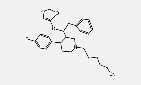 N#CCCCCCN1CCC(c2ccc(F)cc2)C(C(Cc2ccccc2)OC2=COCO2)C1